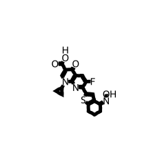 O=C(O)c1cn(C2CC2)c2nc(-c3cc4c(s3)CCC/C4=N/O)c(F)cc2c1=O